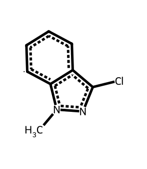 Cn1nc(Cl)c2ccc[c]c21